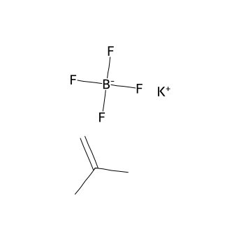 C=C(C)C.F[B-](F)(F)F.[K+]